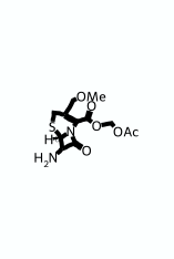 COCC1=C(C(=O)OCOC(C)=O)N2C(=O)C(N)[C@@H]2SC1